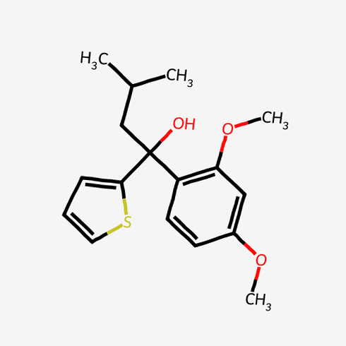 COc1ccc(C(O)(CC(C)C)c2cccs2)c(OC)c1